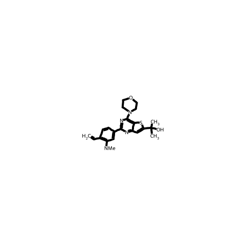 C=Cc1ccc(-c2nc(N3CCOCC3)c3sc(C(C)(C)O)cc3n2)cc1NC